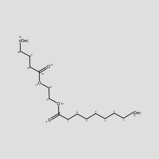 CCCCCCCCCCCCCCCCCC(=O)OCCOC(=O)CCCCCCCCCCCCC